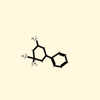 CC1CC(c2cc[c]cc2)CC(C)(C)C1